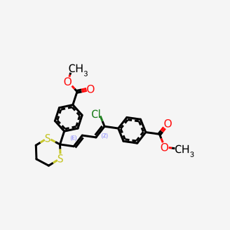 COC(=O)c1ccc(/C(Cl)=C/C=C/C2(c3ccc(C(=O)OC)cc3)SCCCS2)cc1